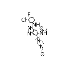 C=CC(=O)Nc1cc2c(Nc3ccc(F)c(Cl)c3)ncnc2cc1C(C)(C)N1CCN(CCOC)CC1